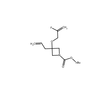 C=CCC1(OCC(=C)F)CN(C(=O)OCCCC)C1